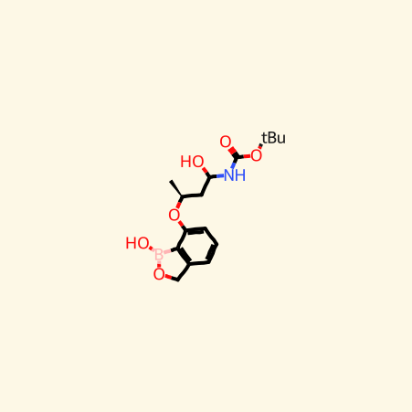 C[C@@H](CC(O)NC(=O)OC(C)(C)C)Oc1cccc2c1B(O)OC2